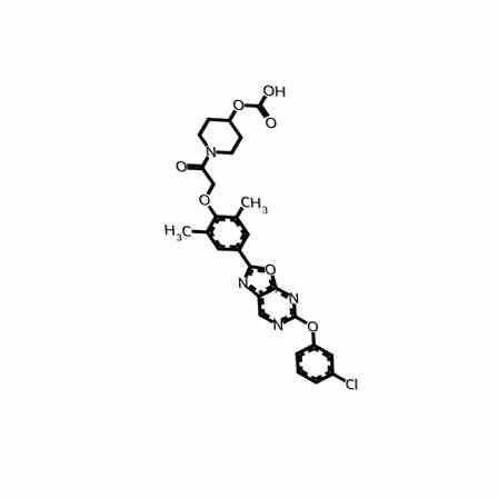 Cc1cc(-c2nc3cnc(Oc4cccc(Cl)c4)nc3o2)cc(C)c1OCC(=O)N1CCC(OC(=O)O)CC1